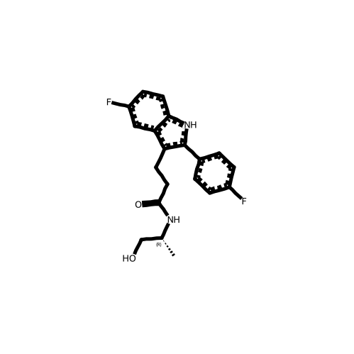 C[C@H](CO)NC(=O)CCc1c(-c2ccc(F)cc2)[nH]c2ccc(F)cc12